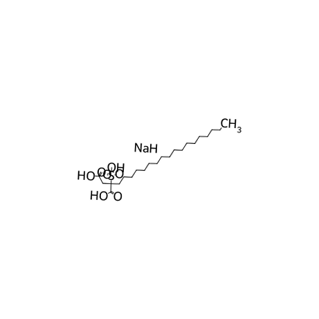 CCCCCCCCCCCCCCCCCCC(CC(=O)O)(C(=O)O)S(=O)(=O)O.[NaH]